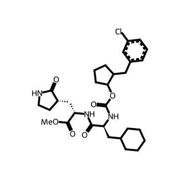 COC(=O)[C@H](C[C@@H]1CCNC1=O)NC(=O)[C@H](CC1CCCCC1)NC(=O)OC1CCCC1Cc1cccc(Cl)c1